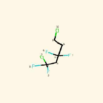 FC(F)(Cl)CC(F)(F)CCCl